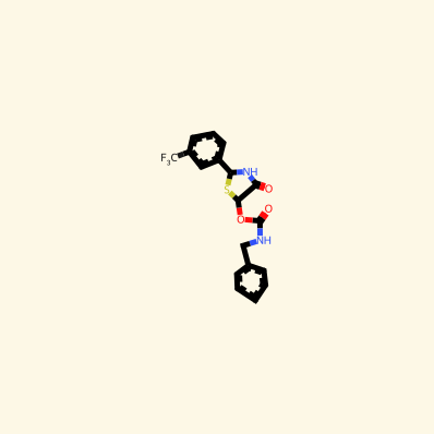 O=C(NCc1ccccc1)OC1SC(c2cccc(C(F)(F)F)c2)NC1=O